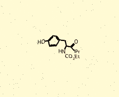 CCOC(=O)NC(Cc1ccc(O)cc1)C(=O)C(C)C